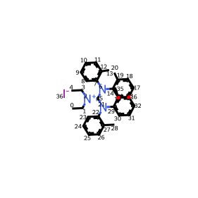 CC[N+](CC)=C(N(c1ccccc1C)c1ccccc1C)N(c1ccccc1C)c1ccccc1C.[I-]